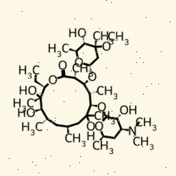 CC[C@H]1OC(=O)[C@H](C)[C@@H](O[C@H]2C[C@@](C)(OC)[C@@H](O)[C@H](C)O2)[C@H](C)[C@@H](O[C@@H]2O[C@H](C)C[C@H](N(C)C)[C@H]2O)C(C)(O)C[C@@H](C)C[C@H](C)[C@@H](O)[C@]1(C)O